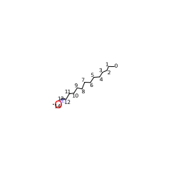 CCCCCCCCCCCC/C=C/[O]